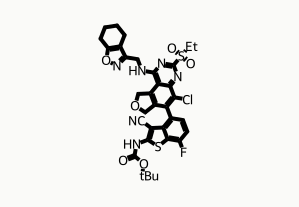 CCS(=O)(=O)c1nc(NCc2noc3c2CCCC3)c2c3c(c(-c4ccc(F)c5sc(NC(=O)OC(C)(C)C)c(C#N)c45)c(Cl)c2n1)COC3